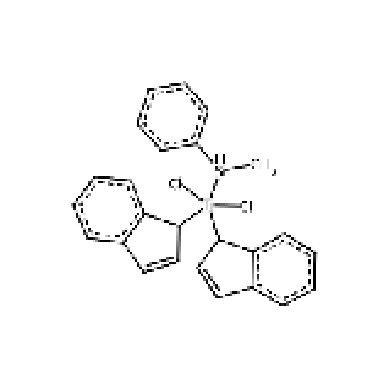 C[SiH](c1ccccc1)[Ti]([Cl])([Cl])([CH]1C=Cc2ccccc21)[CH]1C=Cc2ccccc21